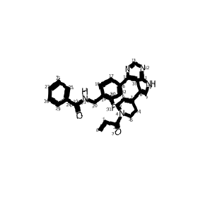 C=CC(=O)N1CC=C(c2c[nH]c3ncnc(-c4ccc(CNC(=O)c5ccccc5)c(F)c4)c23)CC1